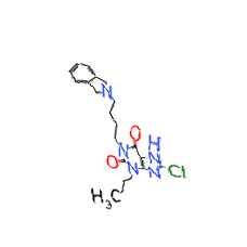 CCCCn1c(=O)n(CCCCN2Cc3ccccc3C2)c(=O)c2[nH]c(Cl)nc21